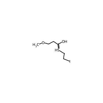 COCCC(O)=[SH]CCI